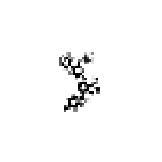 CC(C)NCc1nc(Nc2ccc(-c3cnc4cc(F)ccn34)c3c2C(=O)NC3)ccc1C1CCOCC1